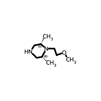 COCCN1[C@H](C)CNC[C@@H]1C